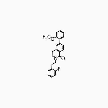 O=C1c2ccc(-c3ccccc3OC(F)(F)F)cc2CCN1CCc1ccccc1F